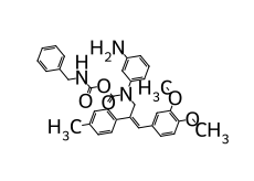 COc1ccc(C=C(CN(C(=O)OC(=O)NCc2ccccc2)c2cccc(N)c2)c2ccc(C)cc2)cc1OC